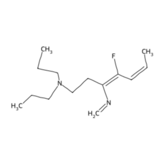 C=N/C(CCN(CCC)CCC)=C(F)\C=C/C